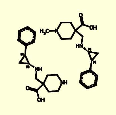 CN1CCC(CN[C@@H]2C[C@H]2c2ccccc2)(C(=O)O)CC1.O=C(O)C1(CN[C@@H]2C[C@H]2c2ccccc2)CCNCC1